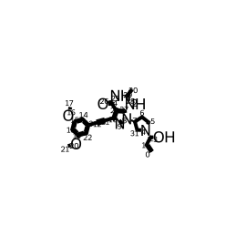 C=CC(O)N1CC[C@H](n2nc(C#Cc3cc(OC)cc(OC)c3)c(C(N)=O)c2NCC)C1